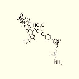 C[n+]1cc(-c2ccc(OC[C@H](O/N=C(/C(=O)NC3C(=O)N(OS(=O)(=O)[O-])C3(C)C)c3csc(N)n3)C(=O)O)cc2)cn1CCCNCCN